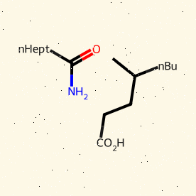 CCCCC(C)CCC(=O)O.CCCCCCCC(N)=O